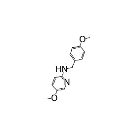 COc1ccc(CNc2ccc(OC)cn2)cc1